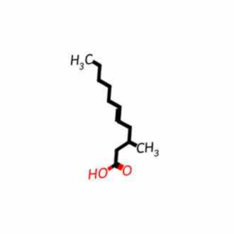 CCCCCC=CCC(C)CC(=O)O